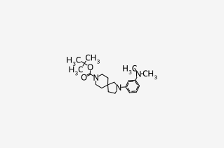 CN(C)c1cccc(N2CCC3(CCN(C(=O)OC(C)(C)C)CC3)C2)c1